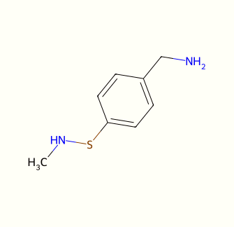 CNSc1ccc(CN)cc1